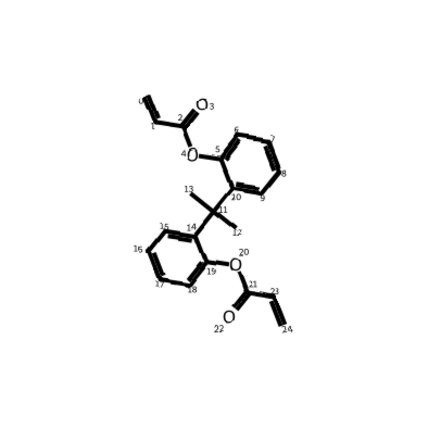 C=CC(=O)Oc1ccccc1C(C)(C)c1ccccc1OC(=O)C=C